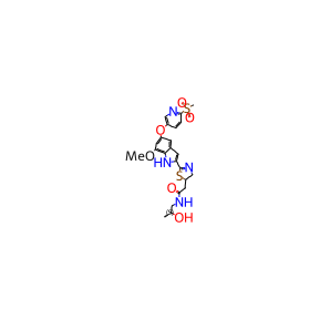 COc1cc(Oc2ccc(S(C)(=O)=O)nc2)cc2cc(C3=NCC(CC(=O)NC[C@H](C)O)S3)[nH]c12